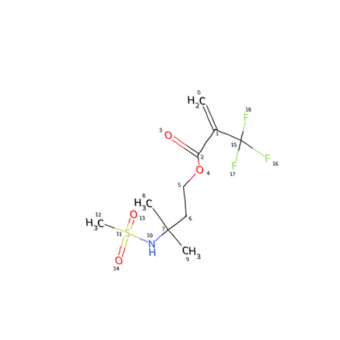 C=C(C(=O)OCCC(C)(C)NS(C)(=O)=O)C(F)(F)F